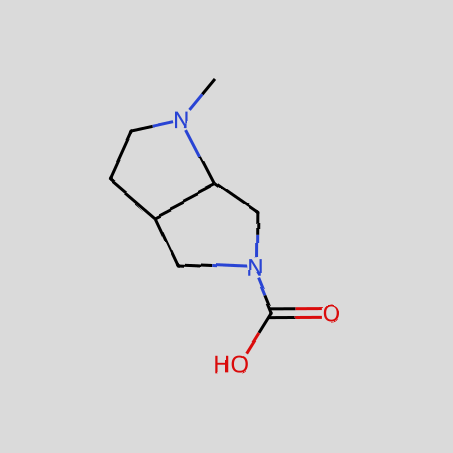 CN1CCC2CN(C(=O)O)CC21